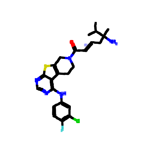 CC(C)C(C)(N)C/C=C/C(=O)N1CCc2c(sc3ncnc(Nc4ccc(F)c(Cl)c4)c23)C1